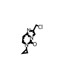 O=c1n(C2CC2)ccc2nc(CCl)cn12